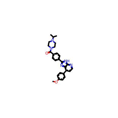 COc1ccc(-c2ccnc3[nH]c(-c4ccc(C(=O)N5CCN(C(C)C)CC5)cc4)nc23)cc1